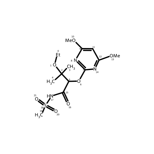 CCOC(C)(C)C(Oc1nc(OC)cc(OC)n1)C(=O)NS(C)(=O)=O